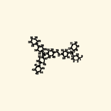 Cc1cccc(N(c2ccccc2)c2ccc(/C=C/c3ccc(N(c4ccc(-c5ccccc5)cc4)c4ccc(-c5ccccc5)cc4)cc3)cc2)c1